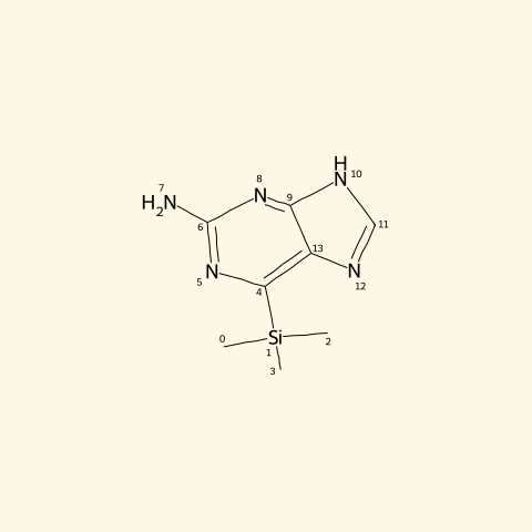 C[Si](C)(C)c1nc(N)nc2[nH]cnc12